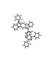 Cn1c(-n2c3ccccc3c3cc4c(cc32)c2ccccc2n4-c2ccccc2)nc2nc(-c3ccccc3)nc(-c3ccccc3)c21